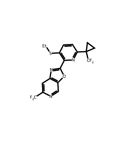 CCSc1ccc(C2(C(F)(F)F)CC2)nc1-c1nc2cc(C(F)(F)F)ncc2o1